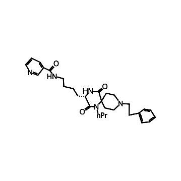 CCCN1C(=O)[C@H](CCCCNC(=O)c2cccnc2)NC(=O)C12CCN(CCc1ccccc1)CC2